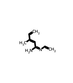 C=C/N=C(N)\C=C(/C)C=C